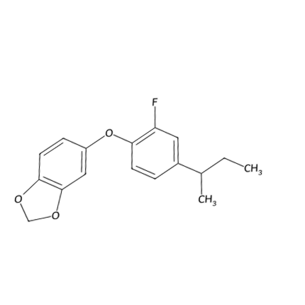 CCC(C)c1ccc(Oc2ccc3c(c2)OCO3)c(F)c1